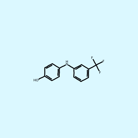 Oc1ccc(Nc2cccc(C(F)(F)F)c2)cc1